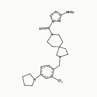 CC(=O)Nc1ccn(C(=O)N2CCC3(CCN(Cc4ccc(N5CCCC5)cc4C(F)(F)F)C3)CC2)n1